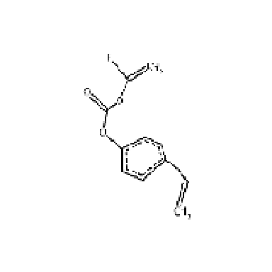 C=Cc1ccc(OC(=O)OC(=C)F)cc1